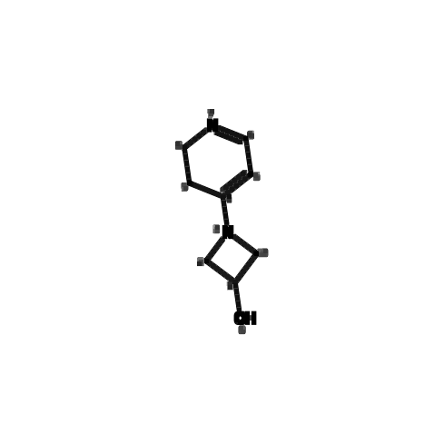 OC1CN(C2=CC=NCC2)C1